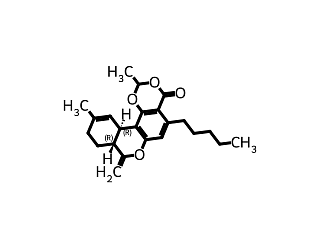 C=C1Oc2cc(CCCCC)c3c(c2[C@@H]2C=C(C)CC[C@@H]12)OC(C)OC3=O